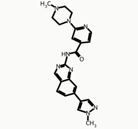 CN1CCN(c2cc(C(=O)Nc3ncc4ccc(-c5cnn(C)c5)cc4n3)ccn2)CC1